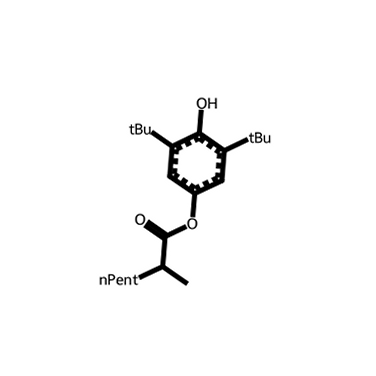 CCCCCC(C)C(=O)Oc1cc(C(C)(C)C)c(O)c(C(C)(C)C)c1